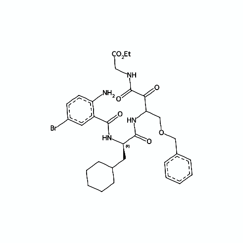 CCOC(=O)CNC(=O)C(=O)C(COCc1ccccc1)NC(=O)[C@@H](CC1CCCCC1)NC(=O)c1cc(Br)ccc1N